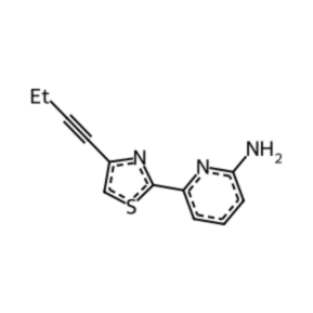 CCC#Cc1csc(-c2cccc(N)n2)n1